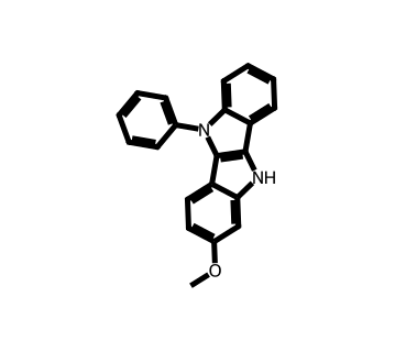 COc1ccc2c(c1)[nH]c1c3ccccc3n(-c3ccccc3)c21